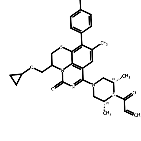 C=CC(=O)N1[C@H](C)CN(c2nc(=O)n3c4c(c(-c5ccc(F)cc5)c(C(F)(F)F)cc24)SCC3COC2CC2)C[C@@H]1C